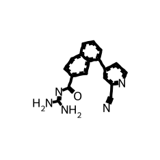 N#Cc1cc(-c2cccc3ccc(C(=O)N=C(N)N)cc23)ccn1